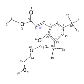 CCOC(=O)/C=C/c1cc(C(C)(C)C)cc(C(C)(C)C)c1OCOCCOC